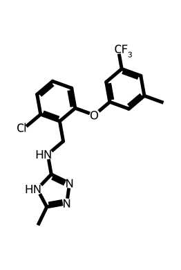 Cc1cc(Oc2cccc(Cl)c2CNc2nnc(C)[nH]2)cc(C(F)(F)F)c1